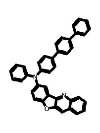 c1ccc(-c2ccc(-c3ccc(N(c4ccccc4)c4ccc5oc6cc7ccccc7nc6c5c4)cc3)cc2)cc1